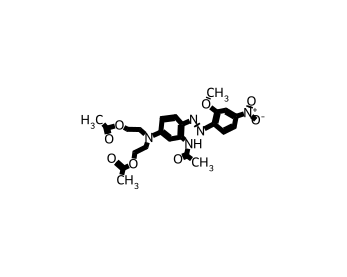 COc1cc([N+](=O)[O-])ccc1N=Nc1ccc(N(CCOC(C)=O)CCOC(C)=O)cc1NC(C)=O